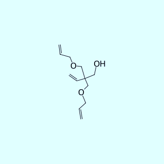 C=CCOCC(C=C)(CO)COCC=C